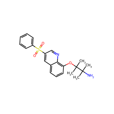 CC(C)(N)C(C)(C)Oc1cccc2cc(S(=O)(=O)c3ccccc3)cnc12